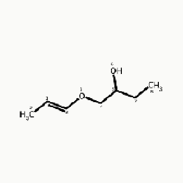 CC=COCC(O)CC